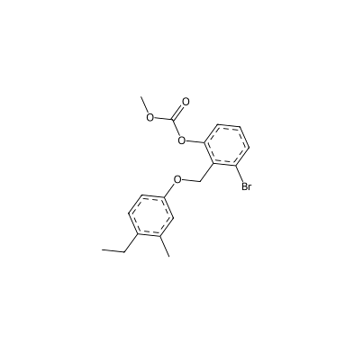 CCc1ccc(OCc2c(Br)cccc2OC(=O)OC)cc1C